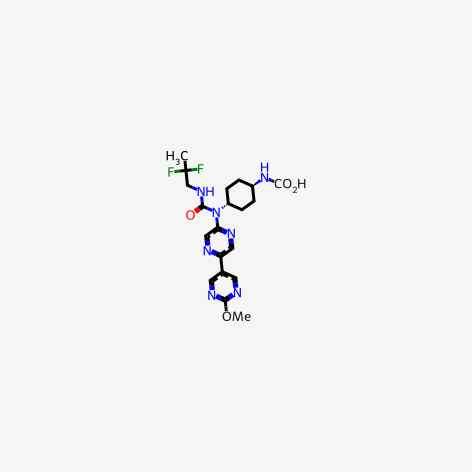 COc1ncc(-c2cnc(N(C(=O)NCC(C)(F)F)[C@H]3CC[C@H](NC(=O)O)CC3)cn2)cn1